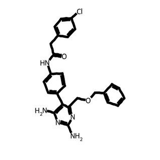 Nc1nc(N)c(-c2ccc(NC(=O)Cc3ccc(Cl)cc3)cc2)c(COCc2ccccc2)n1